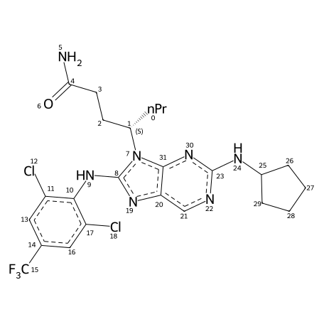 CCC[C@@H](CCC(N)=O)n1c(Nc2c(Cl)cc(C(F)(F)F)cc2Cl)nc2cnc(NC3CCCC3)nc21